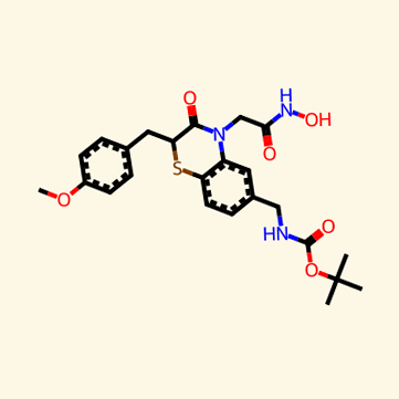 COc1ccc(CC2Sc3ccc(CNC(=O)OC(C)(C)C)cc3N(CC(=O)NO)C2=O)cc1